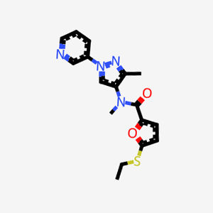 CCSc1ccc(C(=O)N(C)c2cn(-c3cccnc3)nc2C)o1